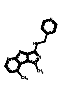 Cc1ccnc2sc3c(NCc4ccncc4)nn(C)c3c12